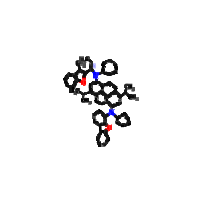 C/C=C(\c1oc2ccccc2c1C)N(c1ccccc1)c1cc(C(C)C)c2ccc3c(N(c4ccccc4)c4cccc5c4oc4ccccc45)cc(C(C)C)c4ccc1c2c43